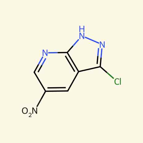 O=[N+]([O-])c1cnc2[nH]nc(Cl)c2c1